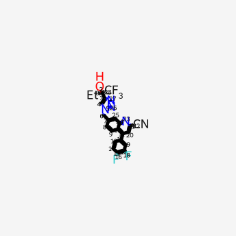 CCC(O)(c1cn(Cc2ccc3c(-c4ccc(F)c(F)c4)cc(C#N)nc3c2)nn1)C(F)(F)F